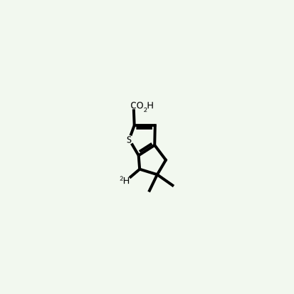 [2H]C1c2sc(C(=O)O)cc2CC1(C)C